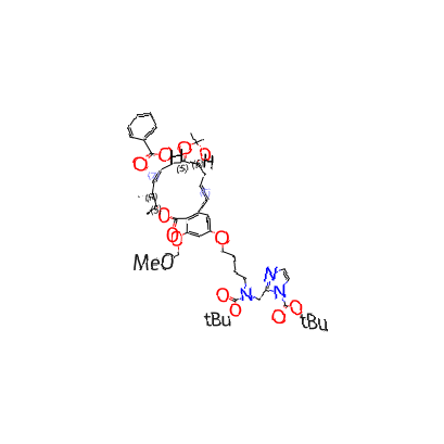 COCOc1cc(OCCCCN(Cc2nccn2C(=O)OC(C)(C)C)C(=O)OC(C)(C)C)cc2c1C(=O)O[C@@H](C)[C@H](C)/C=C\C(OC(=O)c1ccccc1)[C@H]1OC(C)(C)O[C@H]1C/C=C/2